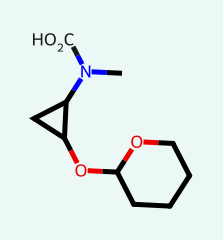 CN(C(=O)O)C1CC1OC1CCCCO1